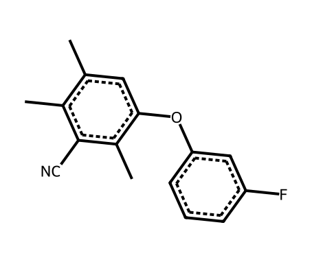 Cc1cc(Oc2cccc(F)c2)c(C)c(C#N)c1C